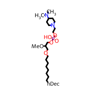 CCCCCCCCCCCCCCCCCCOCC(COP(=O)(O)OCCN1CCC(N(C)C)CC1)OC